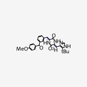 [2H]/C(c1nc[nH]c1C(C)(C)C)=c1/[nH]c(=O)/c(=C/c2cccc(C(=O)c3ccc(OC)cc3)c2)[nH]c1=O